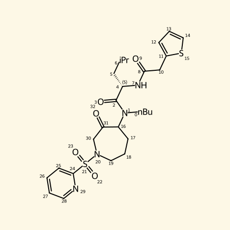 CCCCN(C(=O)[C@H](CC(C)C)NC(=O)Cc1cccs1)C1CCCN(S(=O)(=O)c2ccccn2)CC1=O